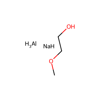 COCCO.[AlH3].[NaH]